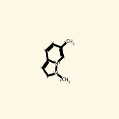 CC1=CN2C(=CCN2C)C=C1